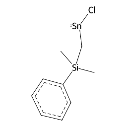 C[Si](C)([CH2][Sn][Cl])c1ccccc1